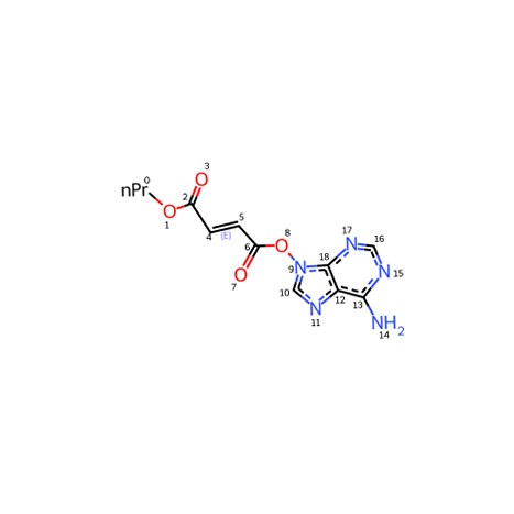 CCCOC(=O)/C=C/C(=O)On1cnc2c(N)ncnc21